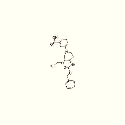 CCO[C@H]1CN(c2cccc(C(=O)O)c2)CC[C@H]1NC(=O)OCc1ccccc1